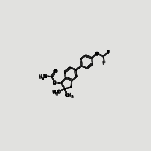 CC1(C)Cc2cc(-c3ccc(OC(F)F)cc3)ccc2C1OC(N)=O